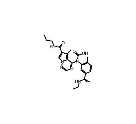 CCCNC(=O)c1cn2ncnc(N(C(=O)O)c3cc(C(=O)NCC)ccc3C)c2c1C